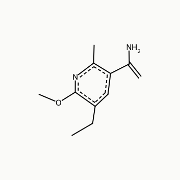 C=C(N)c1cc(CC)c(OC)nc1C